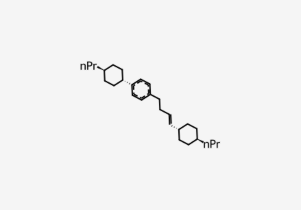 CCC[C@H]1CC[C@H](/C=C/CCc2ccc([C@H]3CC[C@H](CCC)CC3)cc2)CC1